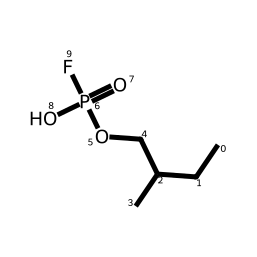 CCC(C)COP(=O)(O)F